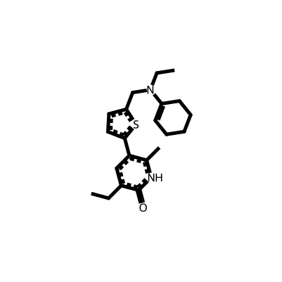 CCc1cc(-c2ccc(CN(CC)C3=CCCCC3)s2)c(C)[nH]c1=O